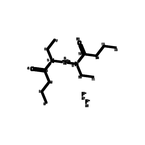 CCCC(=O)[N](CC)[Ti+2][N](CC)C(=O)CCC.[F-].[F-]